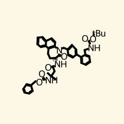 CC(C)(CC(=O)N[C@@H]1CCc2c(ccc3ccccc23)N(Cc2ccc(-c3ccccc3CNC(=O)OC(C)(C)C)cc2)C1=O)NC(=O)OCc1ccccc1